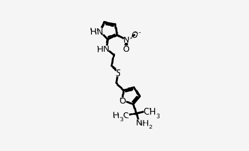 CC(C)(N)c1ccc(CSCCNc2[nH]ccc2[N+](=O)[O-])o1